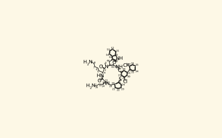 CN1C(=O)C(CCCCN)NC(=O)C(CCCN)NCc2ccccc2Sc2c(Cl)cc(-c3ccccc3Cl)cc2CNC(=O)C1Cc1c[nH]c2ccccc12